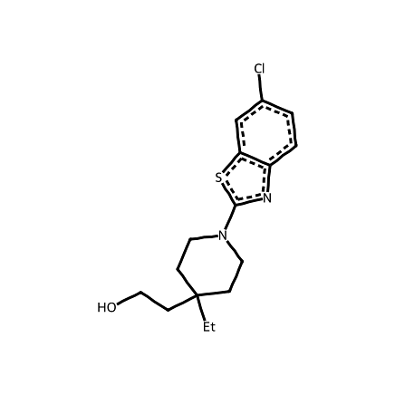 CCC1(CCO)CCN(c2nc3ccc(Cl)cc3s2)CC1